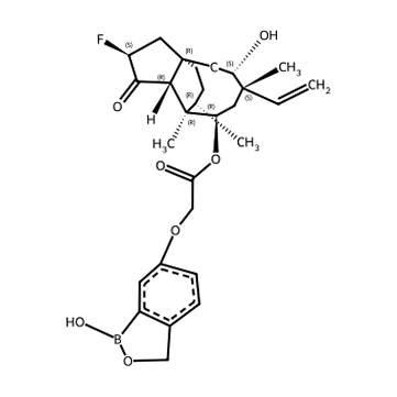 C=C[C@]1(C)C[C@@H](OC(=O)COc2ccc3c(c2)B(O)OC3)[C@]2(C)[C@H](C)CC[C@]3(C[C@H](F)C(=O)[C@H]32)C[C@@H]1O